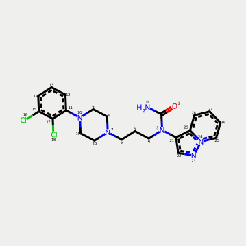 NC(=O)N(CCCN1CCN(c2cccc(Cl)c2Cl)CC1)c1cnn2ccccc12